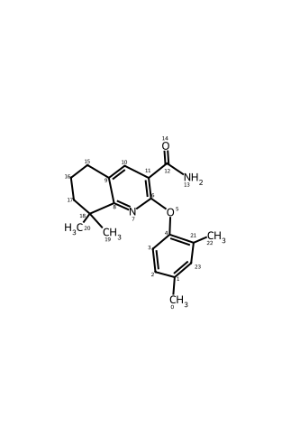 Cc1ccc(Oc2nc3c(cc2C(N)=O)CCCC3(C)C)c(C)c1